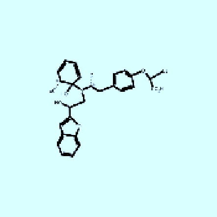 CCC(Oc1ccc(C[C@@H](C)N(CC(O)c2cc3ccccc3o2)C2(O)C=CC=C[C@H]2CC)cc1)C(=O)O